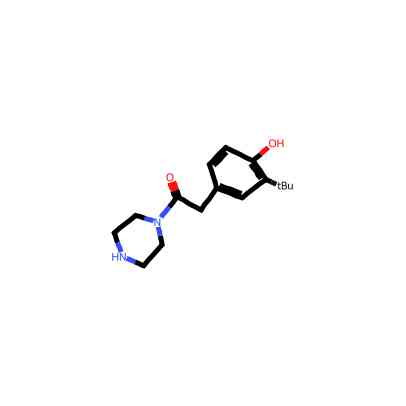 CC(C)(C)c1cc(CC(=O)N2CCNCC2)ccc1O